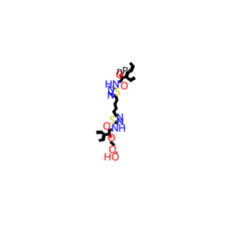 C=C/C(=C\C=C/C)C(OCCC)C(=O)Nc1nnc(CCCCc2nnc(NC(=O)C(OCCOCO)/C(C=C)=C/C)s2)s1